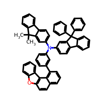 CC1(C)c2ccccc2-c2ccc(N(c3cccc(-c4cccc5ccc6oc7ccccc7c6c45)c3)c3ccc4c(c3)C(c3ccccc3)(c3ccccc3)c3ccccc3-4)cc21